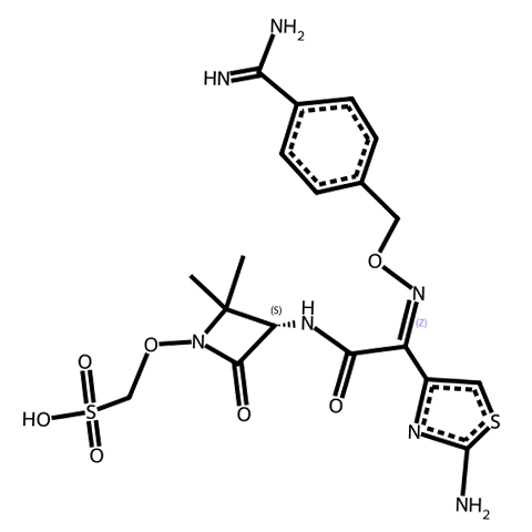 CC1(C)[C@H](NC(=O)/C(=N\OCc2ccc(C(=N)N)cc2)c2csc(N)n2)C(=O)N1OCS(=O)(=O)O